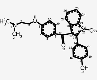 CN(C)CCOc1ccc(C(=O)c2c(-c3ccc(O)cc3)[s+]([O-])c3ccccc23)cc1